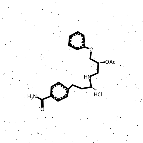 CC(=O)O[C@@H](CN[C@H](C)CCc1ccc(C(N)=O)cc1)COc1ccccc1.Cl